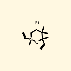 C=CC1(C)O[Si](C)(C=C)CCC1(C)C.[Pt]